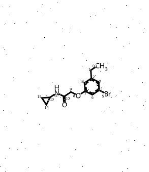 CCc1cc(Br)cc(OCC(=O)NC2CC2)c1